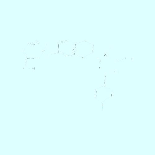 CC(C)(C)OC(=O)N(C[C@H](O)c1ccc(Cl)cc1)[C@H]1CCc2ccc(OC3(Cl)CC(C(=O)O)=CC=N3)cc2C1